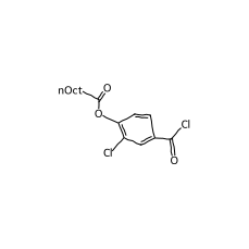 CCCCCCCCC(=O)Oc1ccc(C(=O)Cl)cc1Cl